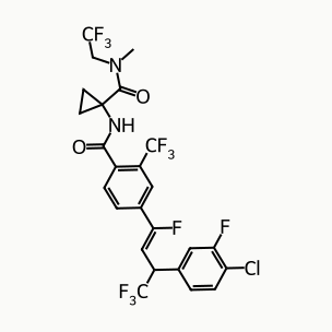 CN(CC(F)(F)F)C(=O)C1(NC(=O)c2ccc(C(F)=CC(c3ccc(Cl)c(F)c3)C(F)(F)F)cc2C(F)(F)F)CC1